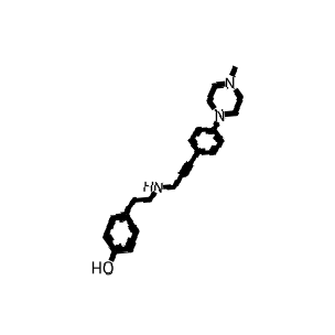 CN1CCN(c2ccc(C#CCNCCc3ccc(O)cc3)cc2)CC1